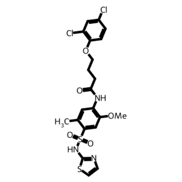 COc1cc(S(=O)(=O)Nc2nccs2)c(C)cc1NC(=O)CCCOc1ccc(Cl)cc1Cl